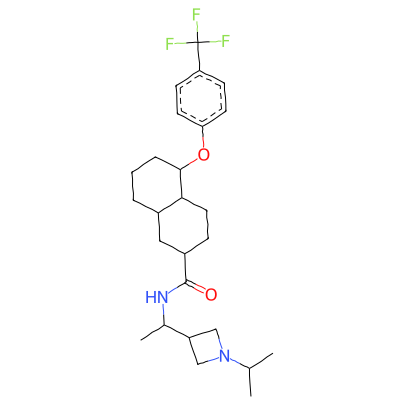 CC(NC(=O)C1CCC2C(CCCC2Oc2ccc(C(F)(F)F)cc2)C1)C1CN(C(C)C)C1